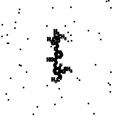 COc1ccc(CCC(O)c2cccc(OCC(=O)OC(C)(C)C)c2)c(F)c1OC